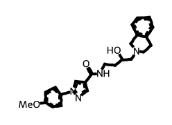 COc1ccc(-n2cc(C(=O)NCCC(O)CN3CCc4ccccc4C3)cn2)cc1